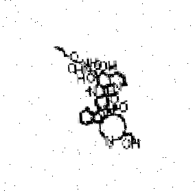 CCCOC(=O)NNC(=O)[C@]1(O)C2N(C)c3cc(OC)c([C@@]4(C(=O)OC)CCC[C@@](O)(CC)CN(C)CCc5c4[nH]c4ccccc54)cc3[C@@]23CCN2CC=C[C@@](CC)([C@H]1O)[C@H]23